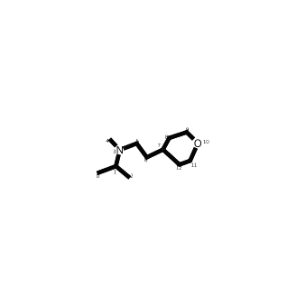 CC(C)N(C)CCC1CCOCC1